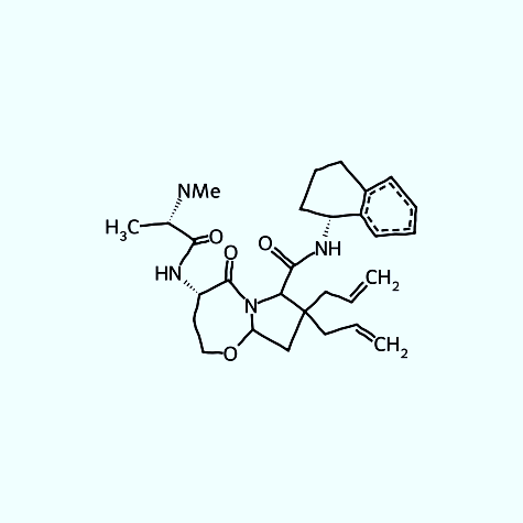 C=CCC1(CC=C)CC2OCC[C@H](NC(=O)[C@H](C)NC)C(=O)N2C1C(=O)N[C@@H]1CCCc2ccccc21